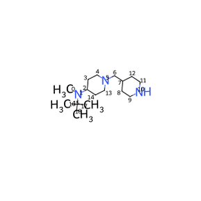 CN(C1CCN(CC2CCNCC2)CC1)C(C)(C)C